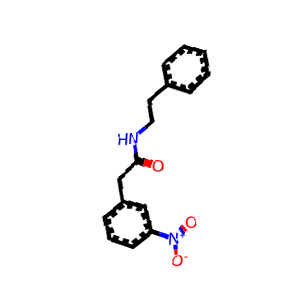 O=C(Cc1cccc([N+](=O)[O-])c1)NCCc1ccccc1